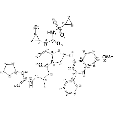 CCC1CC1N(C(=O)NS(=O)(=O)C1CC1)C(=O)C1CC(Oc2cc(-c3ccccc3)nc3cc(OC)ccc23)CN1C(=O)CC(C)CNC(=O)OC1CCCC1